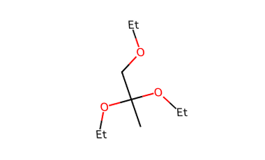 CCOCC(C)(OCC)OCC